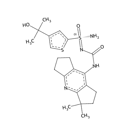 CC(C)(O)c1csc([S@@](N)(=O)=NC(=O)Nc2c3c(nc4c2CCC4(C)C)CCC3)c1